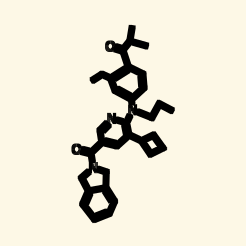 CCCN(c1ccc(C(=O)C(C)C)c(CC)c1)c1ncc(C(=O)N2Cc3ccccc3C2)cc1C1CCC1